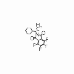 C[C@@H](C1CCCCC1)N1C(=O)c2c(F)c(F)c(F)c(F)c2C1=O